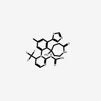 Cc1cc(-c2cncs2)c(C2(O)CCNC(=O)CC2)c(N2C(NC(=O)O)=NC=CC2C(F)(F)F)c1